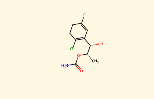 C[C@H](OC(N)=O)[C@@H](O)C1=C(Cl)CCC(Cl)=C1